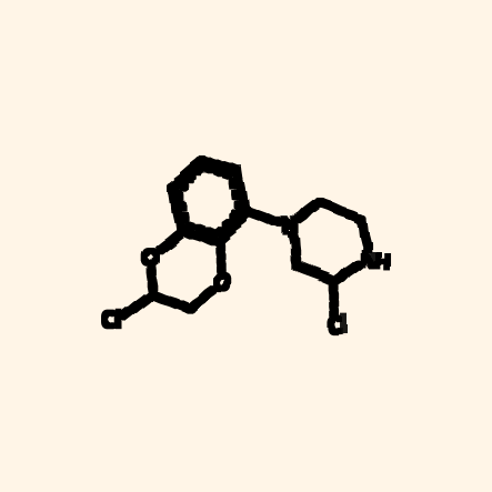 ClC1CN(c2cccc3c2OCC(Cl)O3)CCN1